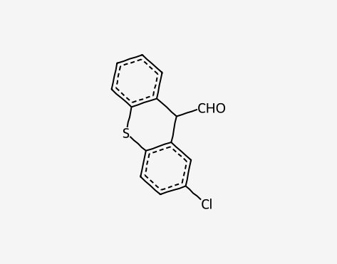 O=CC1c2ccccc2Sc2ccc(Cl)cc21